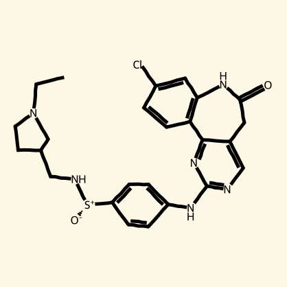 CCN1CCC(CN[S@@+]([O-])c2ccc(Nc3ncc4c(n3)-c3ccc(Cl)cc3NC(=O)C4)cc2)C1